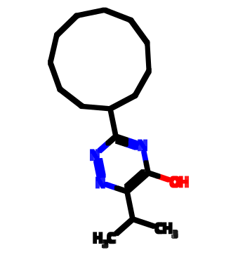 CC(C)c1nnc(C2CCCCCCCCCC2)nc1O